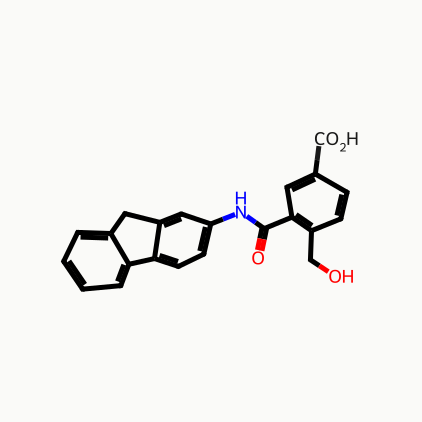 O=C(O)c1ccc(CO)c(C(=O)Nc2ccc3c(c2)Cc2ccccc2-3)c1